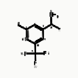 Cc1cc(C(C)N)cc(C(F)(F)F)n1